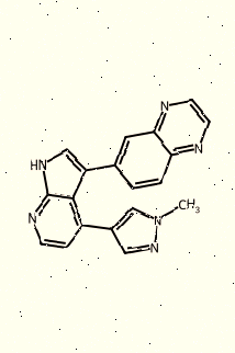 Cn1cc(-c2ccnc3[nH]cc(-c4ccc5nccnc5c4)c23)cn1